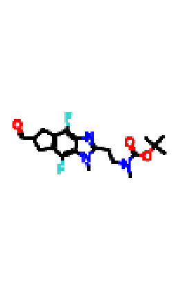 CN(CCc1nc2c(F)c3c(c(F)c2n1C)CC(C=O)C3)C(=O)OC(C)(C)C